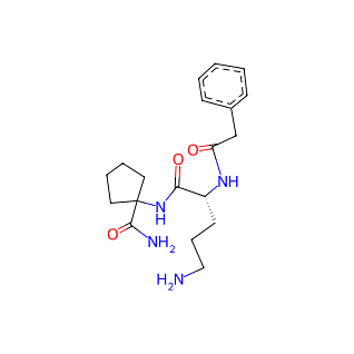 NCCC[C@@H](NC(=O)Cc1ccccc1)C(=O)NC1(C(N)=O)CCCC1